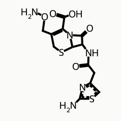 NOCC1=C(C(=O)O)N2C(=O)C(NC(=O)Cc3csc(N)n3)C2SC1